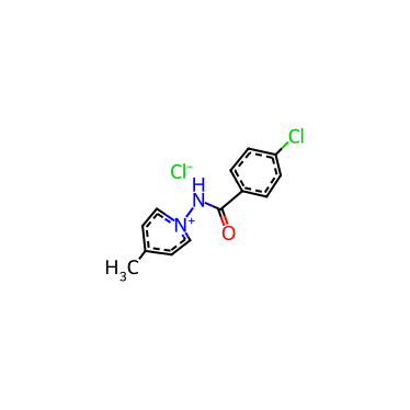 Cc1cc[n+](NC(=O)c2ccc(Cl)cc2)cc1.[Cl-]